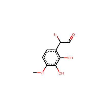 COc1ccc(C(Br)C=O)c(O)c1O